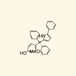 COc1ccccc1[C@@](c1ccccc1)(c1ccc(O)cc1)c1ccc(-c2ccccc2)[nH]1